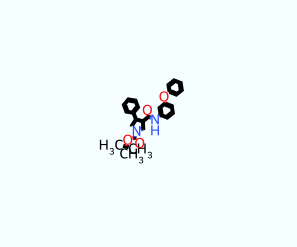 CC(C)(C)OC(=O)N1CC(C(=O)Nc2cccc(Oc3ccccc3)c2)C(c2ccccc2)C1